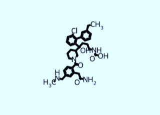 CCc1cccc(-c2c(Cl)cccc2C(O)(CCCNC(=O)O)C2CCCN(C(=O)c3ccc(CNC)cc3CC(N)=O)C2)c1